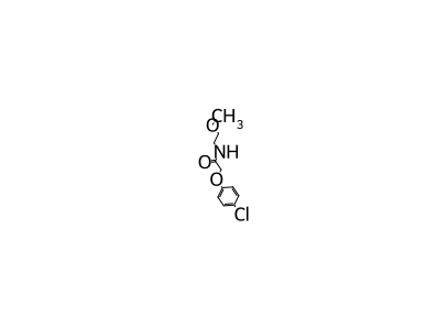 COCCNC(=O)COc1ccc(Cl)cc1